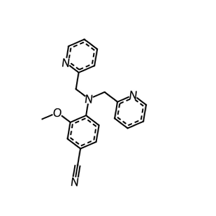 COc1cc(C#N)ccc1N(Cc1ccccn1)Cc1ccccn1